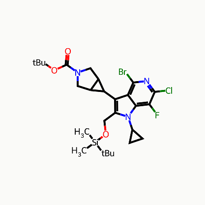 CC(C)(C)OC(=O)N1CC2C(C1)C2c1c(CO[Si](C)(C)C(C)(C)C)n(C2CC2)c2c(F)c(Cl)nc(Br)c12